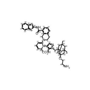 Cc1c(N2C(N3CCc4cccc(C(=O)Nc5nc6ccccc6s5)c4C3)=CC=CC2C(=O)O)cnn1CC12CC3(C)CC(C)(C1)CC(OCCN)(C3)C2